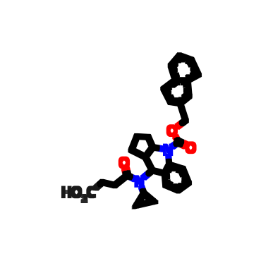 O=C(O)CCC(=O)N(C1CC1)C1c2ccccc2N(C(=O)OCc2ccc3ccccc3c2)C2CCCC21